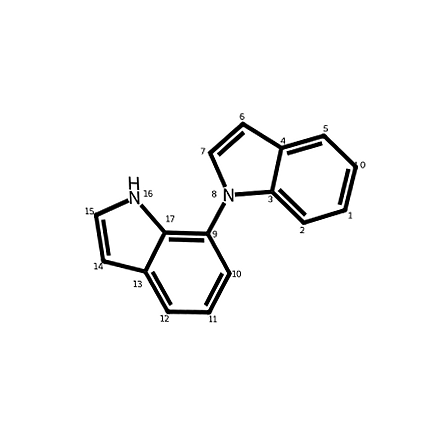 [c]1ccc2c(c1)ccn2-c1cccc2cc[nH]c12